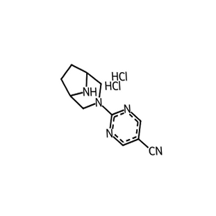 Cl.Cl.N#Cc1cnc(N2CC3CCC(C2)N3)nc1